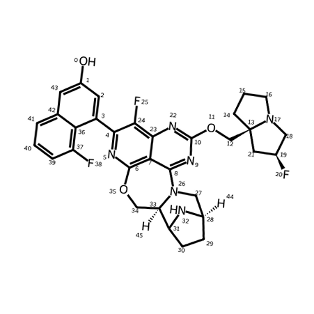 Oc1cc(-c2nc3c4c(nc(OC[C@@]56CCCN5C[C@@H](F)C6)nc4c2F)N2C[C@H]4CCC(N4)[C@H]2CO3)c2c(F)cccc2c1